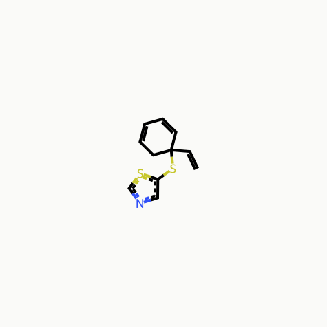 C=CC1(Sc2cncs2)C=CC=CC1